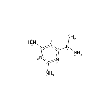 Nc1nc(N)nc(N(N)N)n1